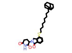 O=C1CCC(N2Cc3c(SCCCCCCCCCC45CC6CC(CC(C6)C4)C5)cccc3C2=O)C(=O)N1